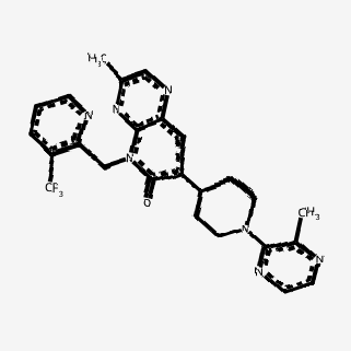 Cc1cnc2cc(C3CCN(c4nccnc4C)CC3)c(=O)n(Cc3ncccc3C(F)(F)F)c2n1